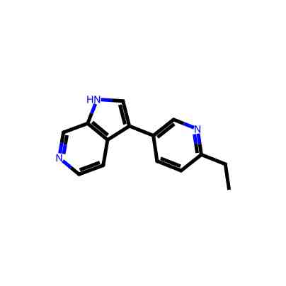 CCc1ccc(-c2c[nH]c3cnccc23)cn1